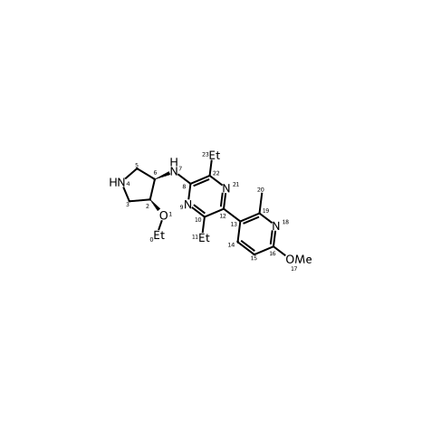 CCO[C@H]1CNC[C@H]1Nc1nc(CC)c(-c2ccc(OC)nc2C)nc1CC